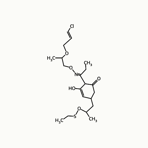 CCSOC(C)CC1C=C(O)C(C(CC)=NOCC(C)OCC=CCl)C(=O)C1